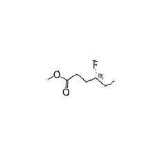 CC[C@@H](F)CCC(=O)OC